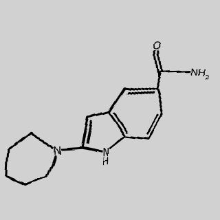 NC(=O)c1ccc2[nH]c(N3CCCCC3)cc2c1